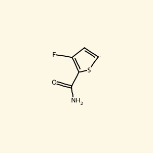 NC(=O)c1s[c]cc1F